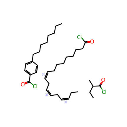 CC/C=C\C/C=C\C/C=C\CCCCCCCC(=O)Cl.CCC(C)C(=O)Cl.CCCCCCCCc1ccc(C(=O)Cl)cc1